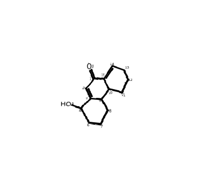 O=C1C=C2C(O)CCCC2C2CCCC=C12